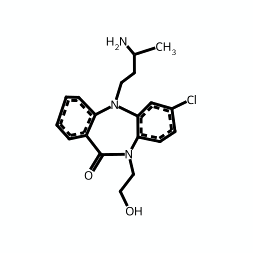 CC(N)CCN1c2ccccc2C(=O)N(CCO)c2ccc(Cl)cc21